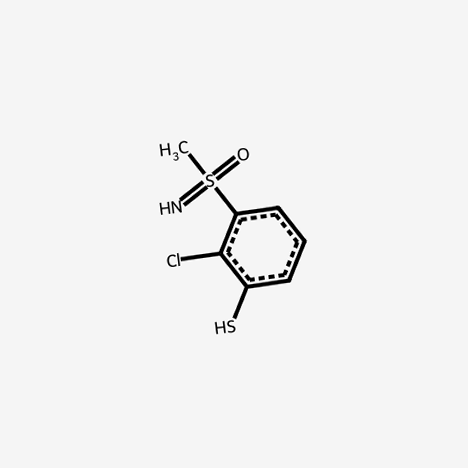 CS(=N)(=O)c1cccc(S)c1Cl